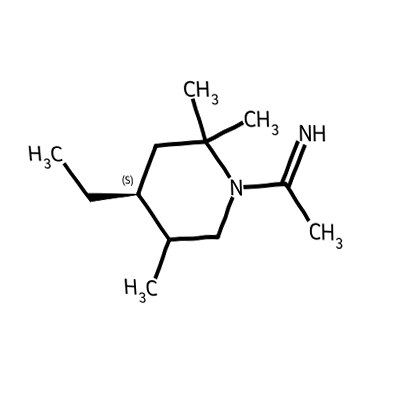 CC[C@H]1CC(C)(C)N(C(C)=N)CC1C